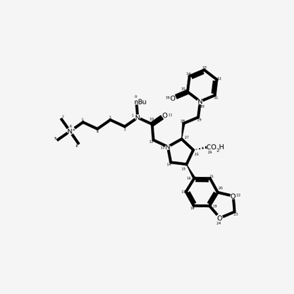 CCCCN(CCCC[N+](C)(C)C)C(=O)CN1C[C@H](c2ccc3c(c2)OCO3)[C@@H](C(=O)O)[C@@H]1CCn1ccccc1=O